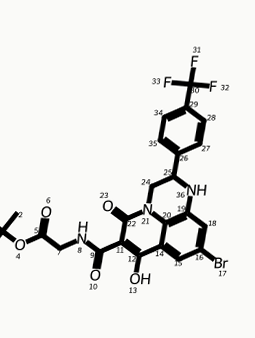 CC(C)(C)OC(=O)CNC(=O)c1c(O)c2cc(Br)cc3c2n(c1=O)CC(c1ccc(C(F)(F)F)cc1)N3